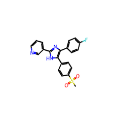 CS(=O)(=O)c1ccc(-c2[nH]c(-c3cccnc3)nc2-c2ccc(F)cc2)cc1